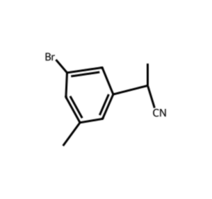 Cc1cc(Br)cc(C(C)C#N)c1